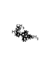 Cn1cc(Nc2nccc(-c3ccn4c(-c5cn(C)nc5-c5cccnc5)nnc4c3)n2)cn1